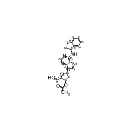 CC(=O)OC1CC(n2cnc3c(N[C@H]4CCc5ccccc54)ncnc32)OC1CO